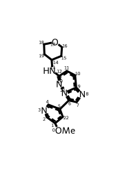 COc1cncc(-c2cnc3ccc(NC4CCOCC4)nn23)c1